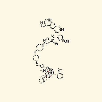 Cc1ncsc1-c1ccc([C@H](C)NC(=O)[C@@H]2C[C@@H](O)CN2C(=O)[C@H](c2cc(N3CCC(CN4CCC(O[C@H]5C[C@H](Oc6cc(N7C8CCC7CN(c7cc(-c9ccccc9O)nnc7N)C8)ccn6)C5)CC4)CC3)no2)C(C)C)cc1O